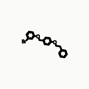 Brc1cccc(OCc2ccc(OCCc3ccccc3)cc2)c1